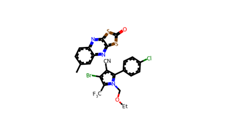 CCOCn1c(-c2ccc(Cl)cc2)c(C#N)c(Br)c1C(F)(F)F.Cc1ccc2nc3sc(=O)sc3nc2c1